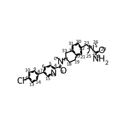 CN(C(=O)c1ccc(-c2ccc(Cl)cc2)cn1)C1CCc2cc(C[N+](C)(C)C(N)=O)ccc2C1